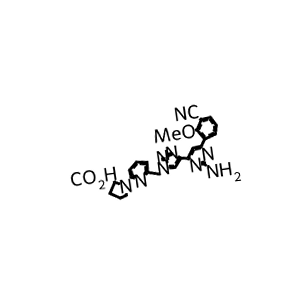 COc1c(C#N)cccc1-c1cc(-c2cn(Cc3cccc(N4CCCC4C(=O)O)n3)nn2)nc(N)n1